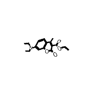 CCOC(=O)c1c(C)c2ccc(N(CC)CC)cc2oc1=O